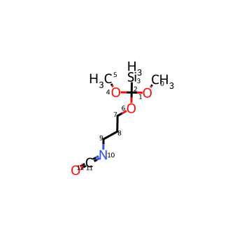 COC([SiH3])(OC)OCCCN=C=O